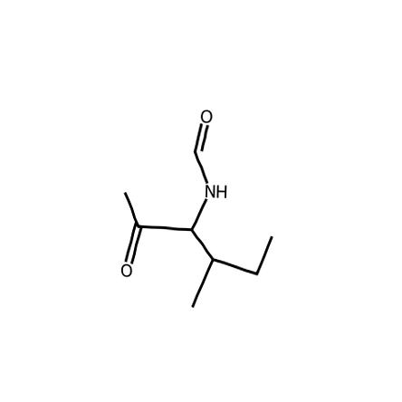 CCC(C)C(NC=O)C(C)=O